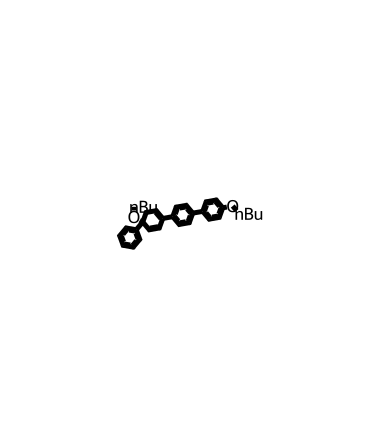 CCCCOc1ccc(-c2ccc(C3=CCC(OCCCC)(c4ccccc4)C=C3)cc2)cc1